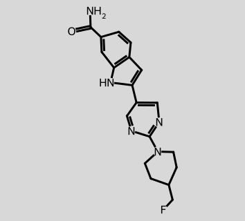 NC(=O)c1ccc2cc(-c3cnc(N4CCC(CF)CC4)nc3)[nH]c2c1